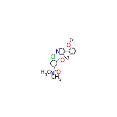 CN(C)C(=O)c1ccc(Cl)c(COC2(c3cnccc3-c3ccccc3OC3CC3)CC2)c1